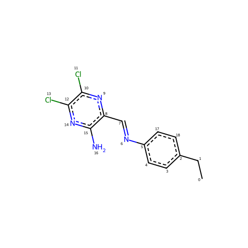 CCc1ccc(N=Cc2nc(Cl)c(Cl)nc2N)cc1